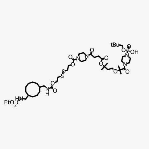 CCOC(=O)NCC1CCCCCC(CNC(=O)OCCSSCCOC(=O)N2CCN(C(=O)CCC(=O)OC(C)(C)CCOC(C)(C)C(=O)N3CCN(P(=O)(O)OCC(C)(C)C)CC3)CC2)CCC1